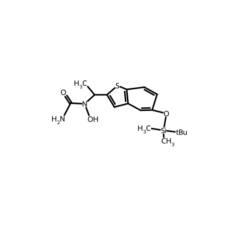 CC(c1cc2cc(O[Si](C)(C)C(C)(C)C)ccc2s1)N(O)C(N)=O